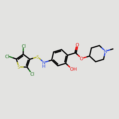 CN1CCC(OC(=O)c2ccc(NSc3c(Cl)sc(Cl)c3Cl)cc2O)CC1